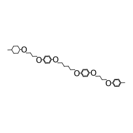 Cc1ccc(OCCCCOc2ccc(OCCCCCCOc3ccc(OCCCCOC4CCC(C)CC4)cc3)cc2)cc1